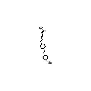 CCCC[C@H]1CC[C@H](CC[C@H]2CC[C@H](CC/C=C/C=C(\F)C#N)CC2)CC1